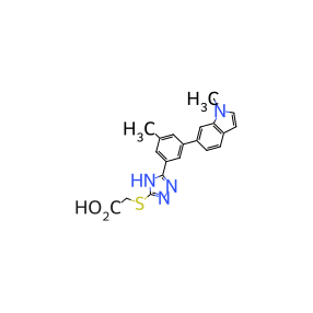 Cc1cc(-c2ccc3ccn(C)c3c2)cc(-c2nnc(SCC(=O)O)[nH]2)c1